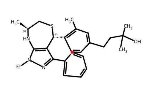 CCn1nc(-c2ccccn2)c2c1N[C@@H](C)CS[C@@H]2c1ccc(CCC(C)(C)O)cc1C